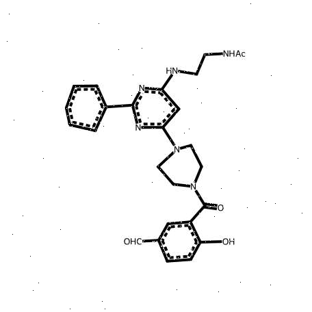 CC(=O)NCCNc1cc(N2CCN(C(=O)c3cc(C=O)ccc3O)CC2)nc(-c2ccccc2)n1